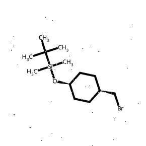 CC(C)(C)[Si](C)(C)O[C@H]1CC[C@@H](CBr)CC1